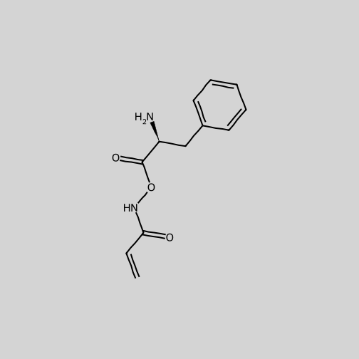 C=CC(=O)NOC(=O)[C@@H](N)Cc1ccccc1